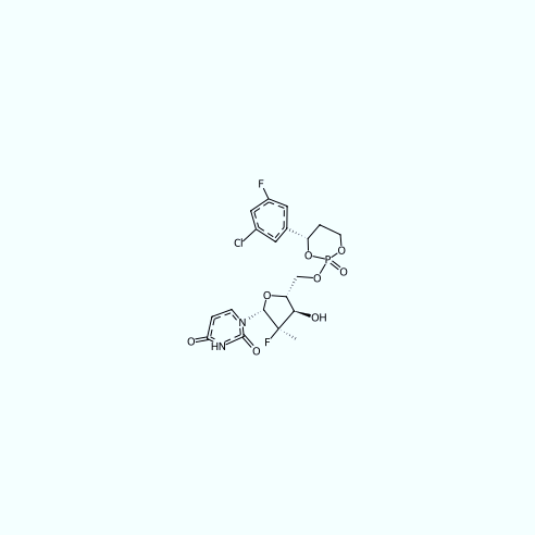 C[C@@]1(F)[C@H](O)[C@@H](COP2(=O)OCC[C@@H](c3cc(F)cc(Cl)c3)O2)O[C@H]1n1ccc(=O)[nH]c1=O